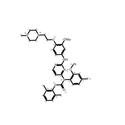 COc1cc(Nc2nccc(N(C(=O)Oc3c(C)cccc3C)c3ccc(F)cc3OC(C)C)n2)ccc1OCCN1CCN(C)CC1